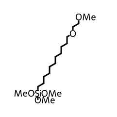 COCCOCCCCCCCCCCC[Si](OC)(OC)OC